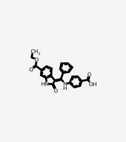 CCOC(=O)c1ccc2c(c1)NC(=O)/C2=C(\Nc1ccc(C(=O)O)cc1)c1ccccc1